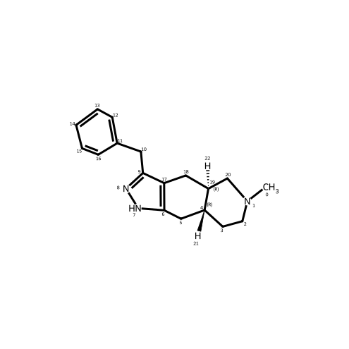 CN1CC[C@@H]2Cc3[nH]nc(Cc4ccccc4)c3C[C@H]2C1